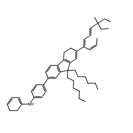 C\C=C/C(=C\C=C\C(C)(CC)CC)C1=CC2=C(CC1)c1ccc(-c3ccc(NC4=CC=CCC4)cc3)cc1C2(CCCCCC)CCCCCC